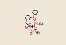 CC(C(=O)O[C@@H](C)[C@H](NC(=O)OC(C)(C)C)C(=O)OC(C)(C)C)c1cccc(C(=O)c2ccccc2)c1